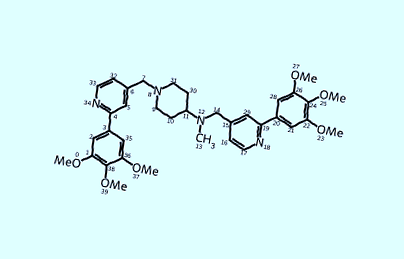 COc1cc(-c2cc(CN3CCC(N(C)Cc4ccnc(-c5cc(OC)c(OC)c(OC)c5)c4)CC3)ccn2)cc(OC)c1OC